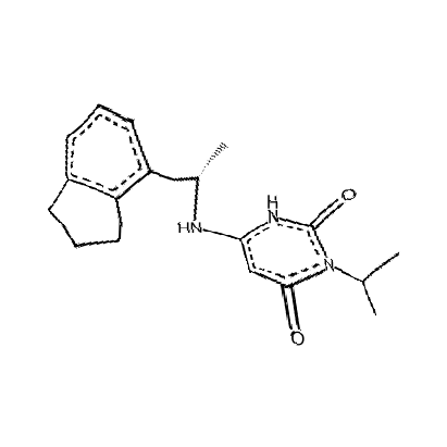 CC(C)n1c(=O)cc(N[C@@H](C)c2cccc3c2CCC3)[nH]c1=O